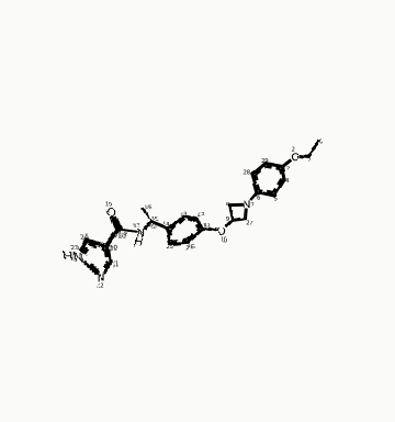 CCOc1ccc(N2CC(Oc3ccc([C@H](C)NC(=O)c4cn[nH]c4)cc3)C2)cc1